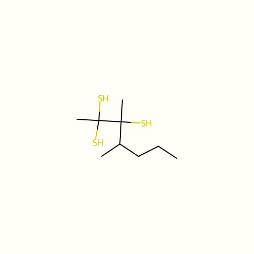 CCCC(C)C(C)(S)C(C)(S)S